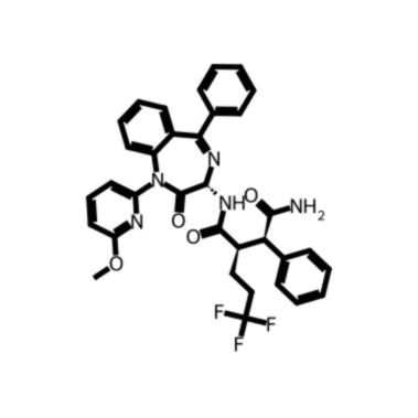 COc1cccc(N2C(=O)[C@@H](NC(=O)[C@H](CCC(F)(F)F)[C@@H](C(N)=O)c3ccccc3)N=C(c3ccccc3)c3ccccc32)n1